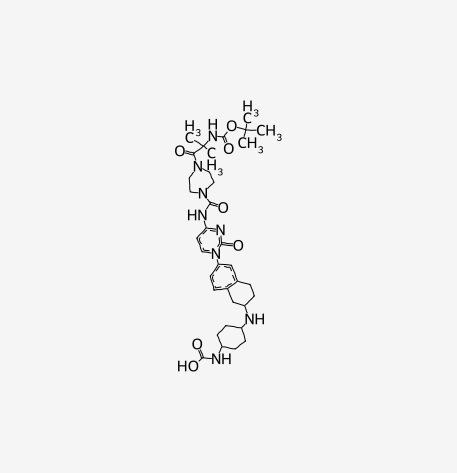 CC(C)(C)OC(=O)NC(C)(C)C(=O)N1CCN(C(=O)Nc2ccn(-c3ccc4c(c3)CCC(NC3CCC(NC(=O)O)CC3)C4)c(=O)n2)CC1